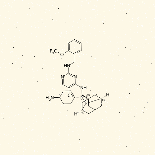 N#Cc1cnc(NCc2ccccc2OC(F)(F)F)nc1NC[C@]12CC3C[C@H](C1)C(N[C@H]1CC[C@H](N)CC1)[C@@H](C3)C2